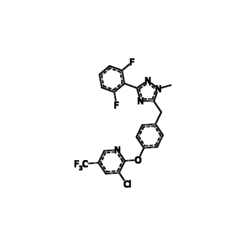 Cn1nc(-c2c(F)cccc2F)nc1Cc1ccc(Oc2ncc(C(F)(F)F)cc2Cl)cc1